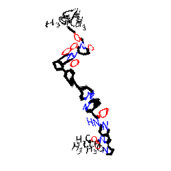 CN1CCC[C@@H]1c1cc2cnc(NC(=O)c3ccc(N4CCC(c5ccc(-c6cccc7c6C(=O)N(C6CCC(=O)N(COCC[Si](C)(C)C)C6=O)C7=O)cc5)CC4)nc3)cc2n1C(=O)OC(C)(C)C